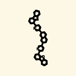 c1ccc2c(c1)oc1c(-c3ccc(-c4ccc5ccc(-c6ccc(-c7cccc8c7sc7ccccc78)nc6)cc5c4)cn3)cccc12